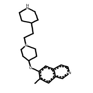 Cc1cc2cnccc2cc1OC1CCN(CCC2CCNCC2)CC1